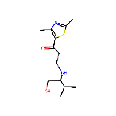 Cc1nc(C)c(C(=O)CCNC(CO)C(C)C)s1